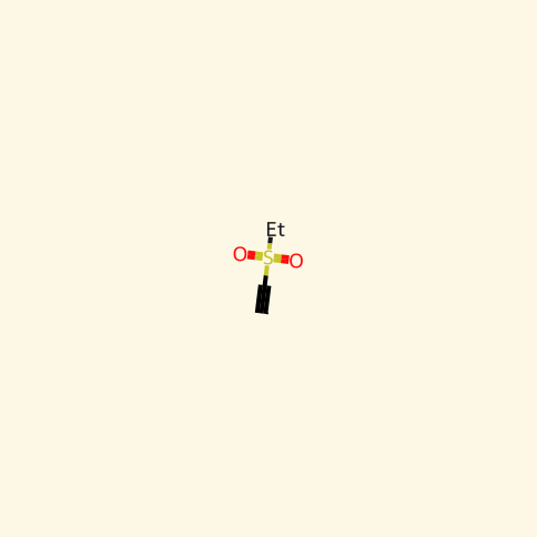 [C]#CS(=O)(=O)CC